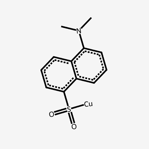 CN(C)c1cccc2c([S](=O)(=O)[Cu])cccc12